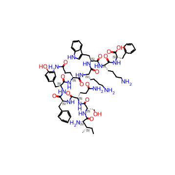 CC[C@H](C)[C@H](N)C(=O)N[C@@H](CO)C(=O)N[C@@H](CCC(N)=O)C(=O)N[C@@H](Cc1ccccc1)C(=O)N[C@@H](Cc1ccc(O)cc1)C(=O)N[C@@H](CCC(N)=O)C(=O)N[C@@H](CCCCN)C(=O)N[C@@H](Cc1c[nH]c2ccccc12)C(=O)N[C@@H](CCCCN)C(=O)N[C@@H](Cc1ccccc1)C(=O)O